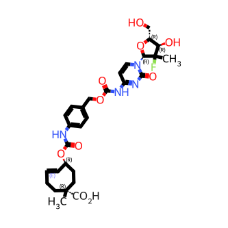 CC1(F)[C@H](O)[C@@H](CO)O[C@H]1n1ccc(NC(=O)OCc2ccc(NC(=O)O[C@H]3/C=C/CC[C@@](C)(C(=O)O)CC3)cc2)nc1=O